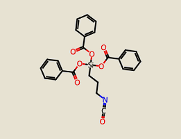 O=C=NCCC[Si](OC(=O)c1ccccc1)(OC(=O)c1ccccc1)OC(=O)c1ccccc1